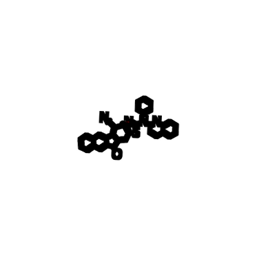 N#CC(C#N)=C1/C(=C\c2ccc(N(c3ccccc3)c3ccc4ccccc4n3)s2)C(=O)c2cc3ccccc3cc21